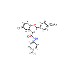 COc1ccc(COc2ccc(Cl)cc2CC(=O)NC2=CCN(C(C)(C)C)C=C2)cc1